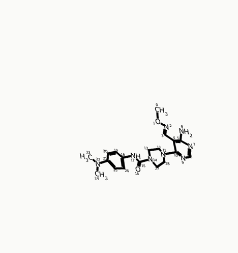 CON=Cc1c(N)ncnc1N1CCN(C(=O)Nc2ccc(N(C)C)cc2)CC1